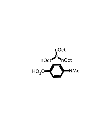 CCCCCCCCP(CCCCCCCC)CCCCCCCC.CNc1ccc(C(=O)O)cc1